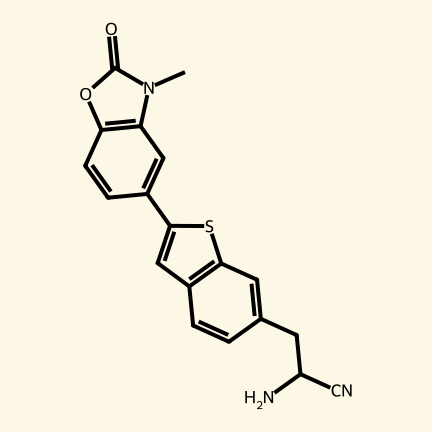 Cn1c(=O)oc2ccc(-c3cc4ccc(CC(N)C#N)cc4s3)cc21